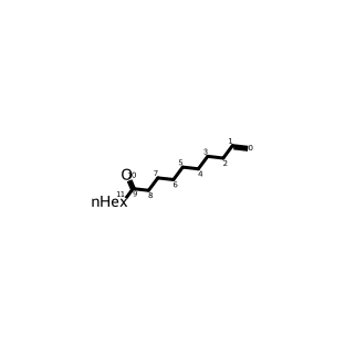 C=CCCCCCCCC(=O)CCCCCC